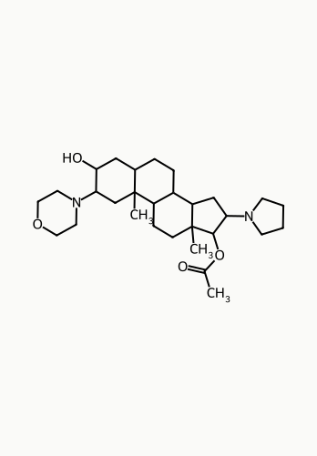 CC(=O)OC1C(N2CCCC2)CC2C3CCC4CC(O)C(N5CCOCC5)CC4(C)C3CCC21C